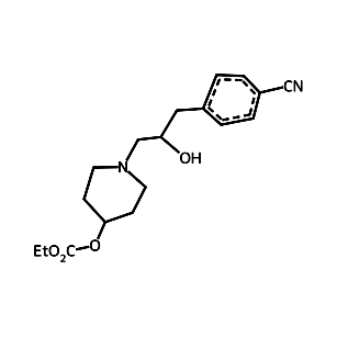 CCOC(=O)OC1CCN(CC(O)Cc2ccc(C#N)cc2)CC1